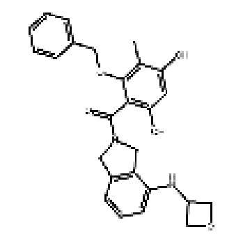 Cc1c(O)cc(O)c(C(=O)N2Cc3cccc(NC4COC4)c3C2)c1OCc1ccccc1